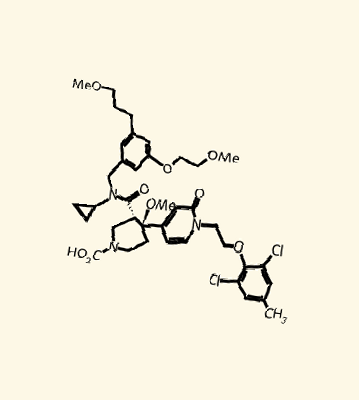 COCCCc1cc(CN(C(=O)[C@H]2CN(C(=O)O)CC[C@@]2(OC)c2ccn(CCOc3c(Cl)cc(C)cc3Cl)c(=O)c2)C2CC2)cc(OCCOC)c1